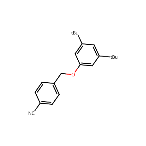 CC(C)(C)c1cc(OCc2ccc(C#N)cc2)cc(C(C)(C)C)c1